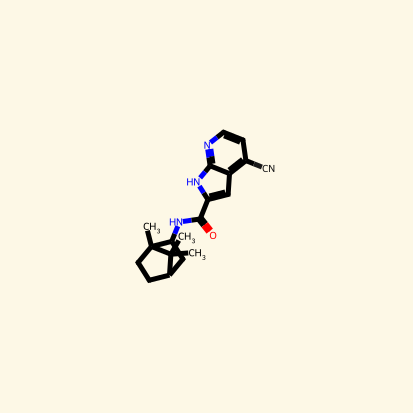 CC1(C)C2CCC1(C)C(NC(=O)c1cc3c(C#N)ccnc3[nH]1)C2